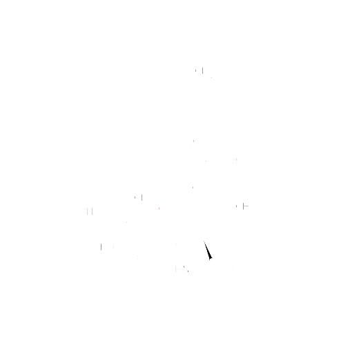 C=CCOC(=O)O[C@H](C)[C@H]1C(=O)N[C@@H]1S(=O)(=O)C(C)(C)C